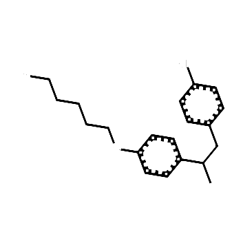 CC(Cc1ccc(Cl)cc1)c1ccc(OCCCCCBr)cc1